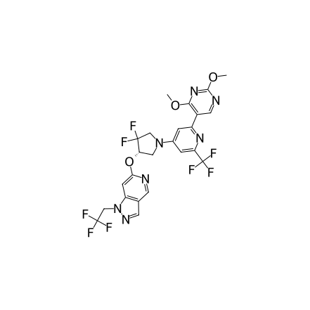 COc1ncc(-c2cc(N3C[C@H](Oc4cc5c(cn4)cnn5CC(F)(F)F)C(F)(F)C3)cc(C(F)(F)F)n2)c(OC)n1